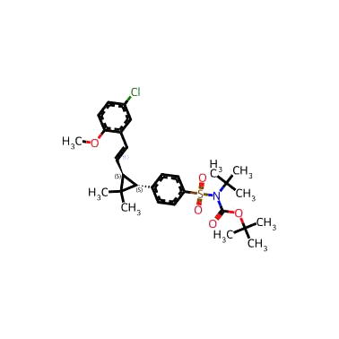 COc1ccc(Cl)cc1/C=C/[C@H]1[C@H](c2ccc(S(=O)(=O)N(C(=O)OC(C)(C)C)C(C)(C)C)cc2)C1(C)C